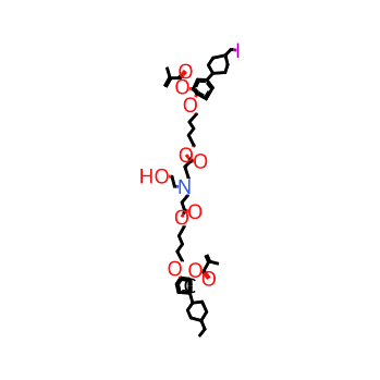 C=C(C)C(=O)Oc1cc(C2CCC(CC)CC2)ccc1OCCCCCOC(=O)CCN(CCO)CCC(=O)OCCCCCOc1ccc(C2CCC(CI)CC2)cc1OC(=O)C(=C)C